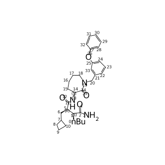 CCCC[C@H](C(N)=O)[C@@H](CC1CCC1)C(=O)N[C@H]1CCCCN(Cc2cccc(Oc3ccccc3)c2)C1=O